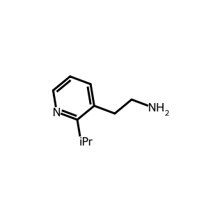 CC(C)c1ncccc1CCN